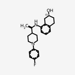 C=C(Nc1cccc2c1C[C@@H](O)CC2)C1CCN(c2ccc(F)cc2)CC1